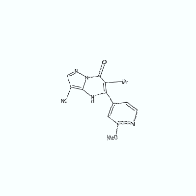 COc1cc(-c2[nH]c3c(C#N)cnn3c(=O)c2C(C)C)ccn1